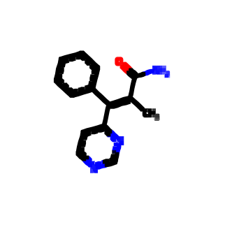 C/C(C(N)=O)=C(/c1ccccc1)c1ccncn1